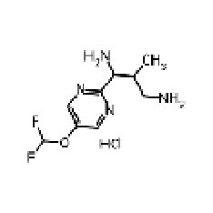 CC(CN)C(N)c1ncc(OC(F)F)cn1.Cl